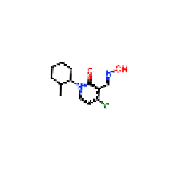 CC1CCCCC1n1ccc(Cl)c(C=NO)c1=O